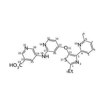 CCc1nc(-c2cccc(C)n2)c(Oc2ccnc(Nc3cncc(C(=O)O)c3)c2)s1